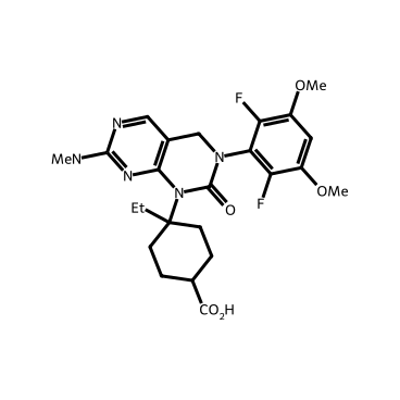 CCC1(N2C(=O)N(c3c(F)c(OC)cc(OC)c3F)Cc3cnc(NC)nc32)CCC(C(=O)O)CC1